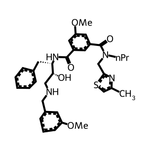 CCCN(Cc1nc(C)cs1)C(=O)c1cc(OC)cc(C(=O)N[C@@H](Cc2ccccc2)[C@H](O)CNCc2cccc(OC)c2)c1